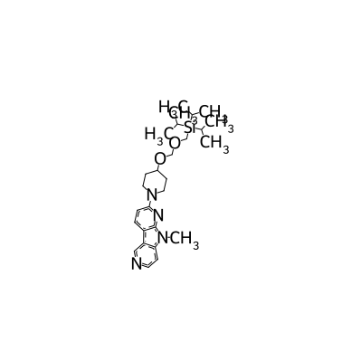 CC(C)[Si](COCOC1CCN(c2ccc3c4cnccc4n(C)c3n2)CC1)(C(C)C)C(C)C